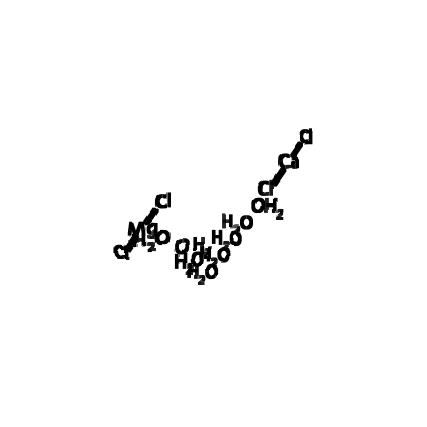 O.O.O.O.O.O.O.O.[Cl][Ca][Cl].[Cl][Mg][Cl]